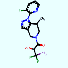 CC1CN(C(=O)C(O)C(F)(F)P)Cc2cnn(-c3ncccc3F)c21